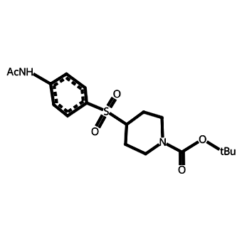 CC(=O)Nc1ccc(S(=O)(=O)C2CCN(C(=O)OC(C)(C)C)CC2)cc1